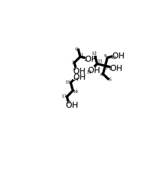 CC(O)CO.CCC(O)(CO)C(C)O.OCCCO